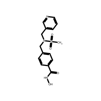 CS(=O)(=O)N(Cc1ccc(C(=O)NO)cc1)Cc1cccnc1